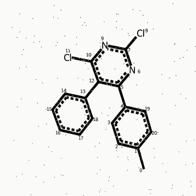 Cc1ccc(-c2nc(Cl)nc(Cl)c2-c2ccccc2)cc1